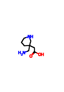 NCC1(CC(=O)O)CCCNC1